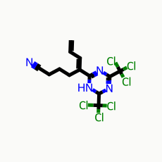 C=C/C=C(\CCCC#N)C1=NC(C(Cl)(Cl)Cl)=NC(C(Cl)(Cl)Cl)N1